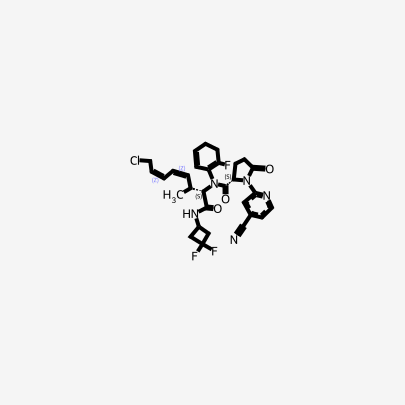 CC(/C=C\C=C/CCl)[C@@H](C(=O)NC1CC(F)(F)C1)N(C(=O)[C@@H]1CCC(=O)N1c1cc(C#N)ccn1)C1=C(F)CCC=C1